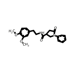 COc1ccc(CCNC(=O)C2CC(=O)N(c3ccccc3)C2)cc1OC